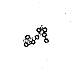 c1ccc(-c2cccc(N(c3ccc(-c4ccc5c6cccc7c6n6c5c4Oc4cccc(c4-6)O7)cc3)c3cccc4sc5ccccc5c34)c2)cc1